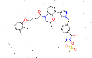 Cc1cccc(OCCCC(=O)N2CC(C)Oc3c(-c4cnn(Cc5cccc(C(=O)NOS(C)(=O)=O)c5)c4)cccc32)c1C